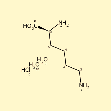 Cl.NCCCC[C@H](N)C(=O)O.O.O